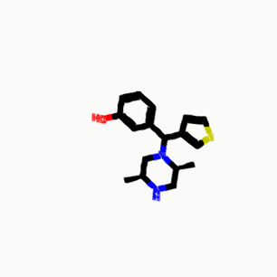 C[C@H]1CN(C(c2ccsc2)c2cccc(O)c2)[C@@H](C)CN1